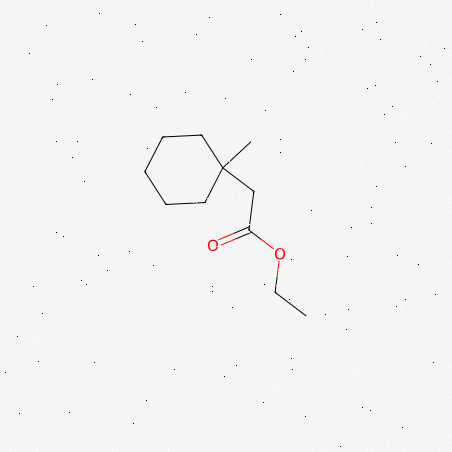 CCOC(=O)CC1(C)CCCCC1